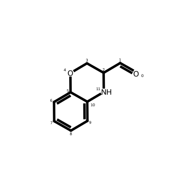 O=CC1COc2ccccc2N1